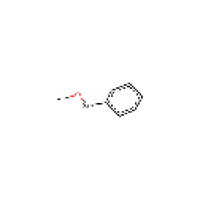 CC[O][Sn][c]1ccccc1